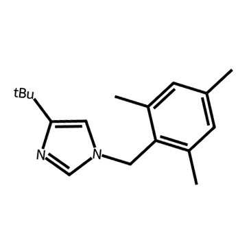 Cc1cc(C)c(Cn2cnc(C(C)(C)C)c2)c(C)c1